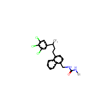 CCNC(=O)NCc1ccc(CCC(c2cc(Cl)c(Cl)c(Cl)c2)C(F)(F)F)c2ccccc12